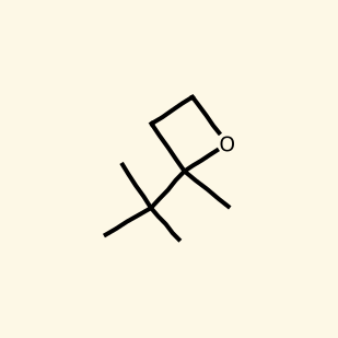 CC(C)(C)C1(C)CCO1